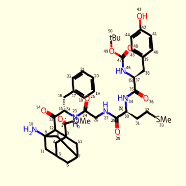 COC(=O)C12CC3CC(CC(N)(C3)C1C(=O)[C@H](Cc1ccccc1)NC(=O)CNC(=O)[C@H](CCSC)NC(=O)[C@H](Cc1ccc(O)cc1)NC(=O)OC(C)(C)C)C2